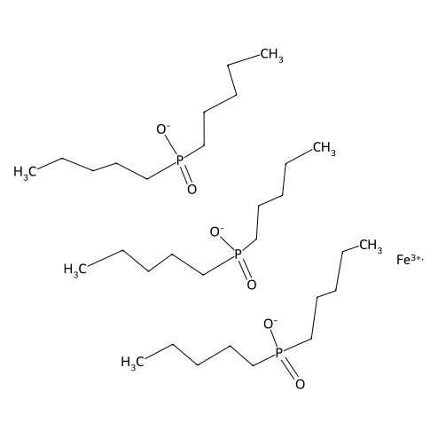 CCCCCP(=O)([O-])CCCCC.CCCCCP(=O)([O-])CCCCC.CCCCCP(=O)([O-])CCCCC.[Fe+3]